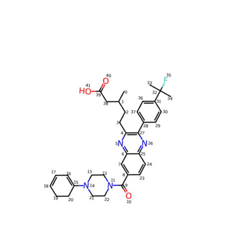 CC(CCc1nc2cc(C(=O)N3CCN(C4=CC=CCC4)CC3)ccc2nc1-c1ccc(C(C)(C)F)cc1)CC(=O)O